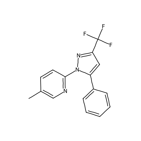 Cc1ccc(-n2nc(C(F)(F)F)cc2-c2ccccc2)nc1